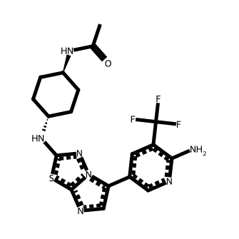 CC(=O)N[C@H]1CC[C@H](Nc2nn3c(-c4cnc(N)c(C(F)(F)F)c4)cnc3s2)CC1